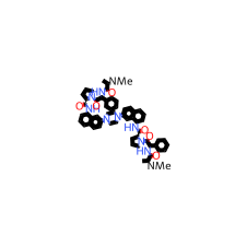 CN[C@@H](C)C(=O)N[C@H](C(=O)N1CCC[C@H]1C(=O)N[C@@H]1CCCc2ccc(N3CCN(c4ccc5c(c4)[C@H](NC(=O)[C@@H]4CCCN4C(=O)[C@@H](NC(=O)[C@H](C)NC)C4CCCCC4)CCC5)CC3)cc21)C1CCCCC1